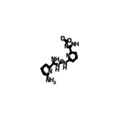 N=C(NONc1cccc(-c2nc(=O)o[nH]2)n1)c1cccc(N)n1